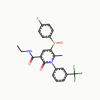 CCNC(=O)c1cc([S+]([O-])c2ccc(F)cc2)c(C)n(-c2cccc(C(F)(F)F)c2)c1=O